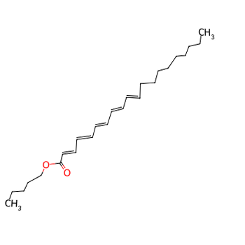 CCCCCCCCCC=CC=CC=CC=CC=CC(=O)OCCCCC